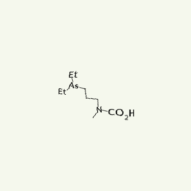 CC[As](CC)CCCN(C)C(=O)O